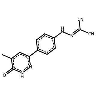 Cc1cc(-c2ccc(NN=C(C#N)C#N)cc2)n[nH]c1=O